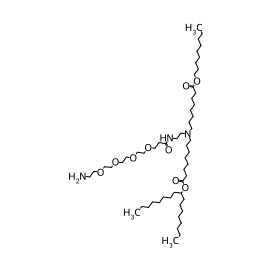 CCCCCCCCCOC(=O)CCCCCCCN(CCCCCCCC(=O)OC(CCCCCCCC)CCCCCCCC)CCNC(=O)CCOCCOCCOCCOCCN